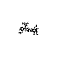 CCCn1c(=O)c2[nH]c(-c3cnn(C(c4cccc(OC(F)(F)F)c4)C4CNC(=O)C4)c3)nc2n(CCC)c1=O